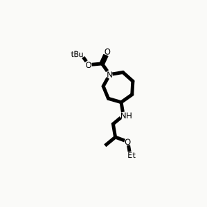 CCOC(C)CNC1CCCN(C(=O)OC(C)(C)C)CC1